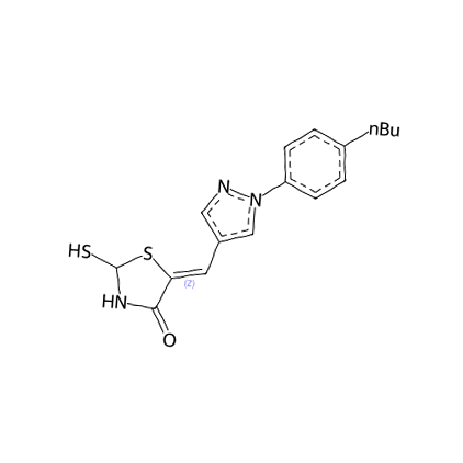 CCCCc1ccc(-n2cc(/C=C3\SC(S)NC3=O)cn2)cc1